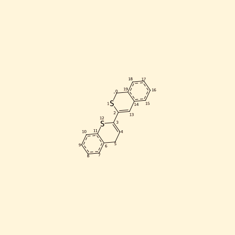 [CH]1SC(C2=CCc3ccccc3S2)=Cc2ccccc21